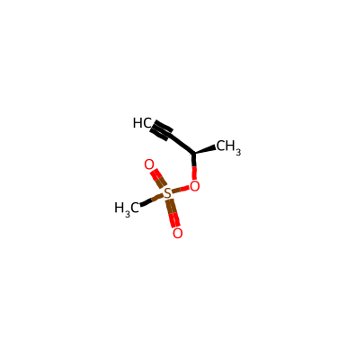 C#C[C@@H](C)OS(C)(=O)=O